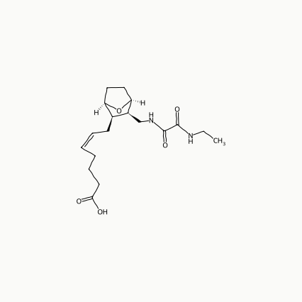 CCNC(=O)C(=O)NC[C@H]1[C@@H](C/C=C\CCCC(=O)O)[C@H]2CC[C@@H]1O2